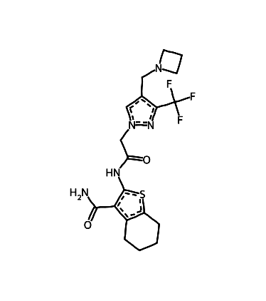 NC(=O)c1c(NC(=O)Cn2cc(CN3CCC3)c(C(F)(F)F)n2)sc2c1CCCC2